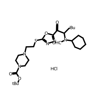 CCC(C)C(C(=O)c1nnc(SCCN2CCN(C(=O)OC(C)(C)C)CC2)o1)N(C=O)C1CCCCC1.Cl